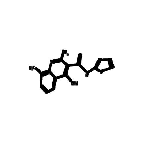 O=C(Nc1nccs1)c1c(C(F)(F)F)nc2c(C(F)(F)F)cccc2c1O